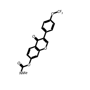 CNC(=O)Oc1ccc2c(=O)c(-c3ccc(OC(F)(F)F)cc3)coc2c1